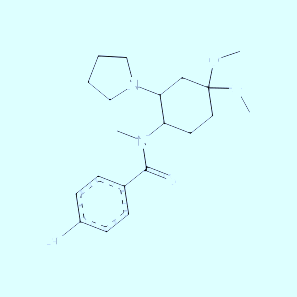 COC1(OC)CCC(N(C)C(=S)c2ccc(Br)cc2)C(N2CCCC2)C1